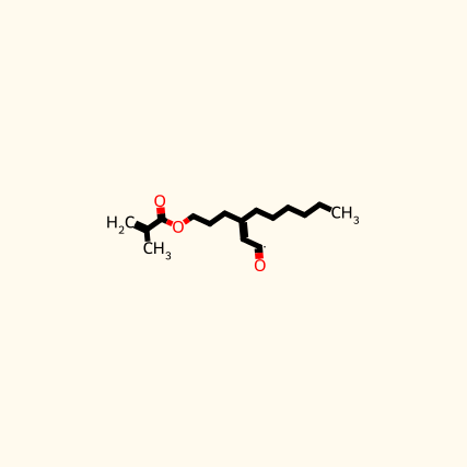 C=C(C)C(=O)OCCCC(=C[C]=O)CCCCCC